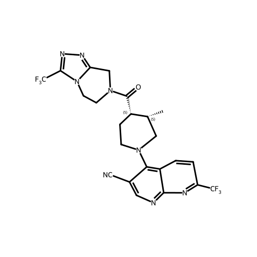 C[C@@H]1CN(c2c(C#N)cnc3nc(C(F)(F)F)ccc23)CC[C@@H]1C(=O)N1CCn2c(nnc2C(F)(F)F)C1